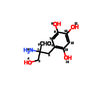 NC(C=O)(CO)Cc1cc(O)c(O)cc1O